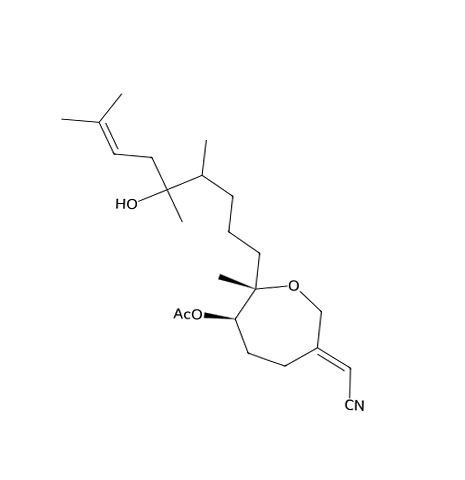 CC(=O)O[C@@H]1CCC(=CC#N)CO[C@@]1(C)CCCC(C)C(C)(O)CC=C(C)C